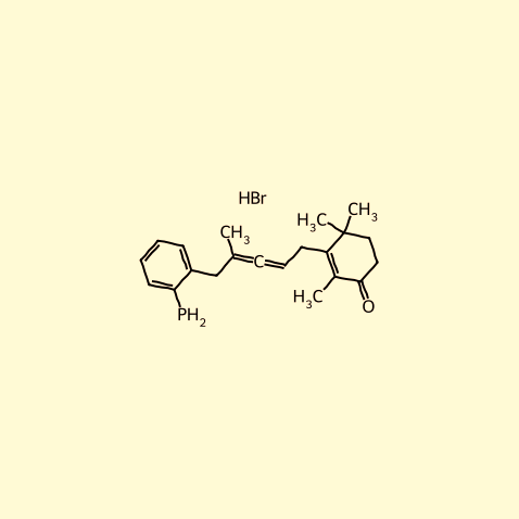 Br.CC(=C=CCC1=C(C)C(=O)CCC1(C)C)Cc1ccccc1P